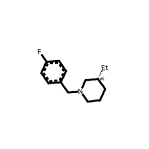 CC[C@@H]1CCCN(Cc2ccc(F)cc2)C1